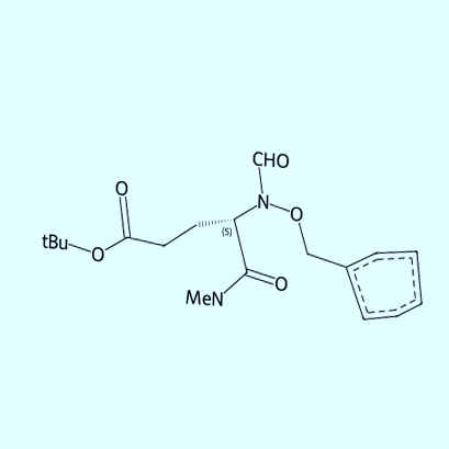 CNC(=O)[C@H](CCC(=O)OC(C)(C)C)N(C=O)OCc1ccccc1